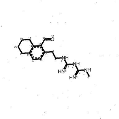 CNC(=N)NC(=N)NCCc1ccc2c(c1C=O)CCCC2